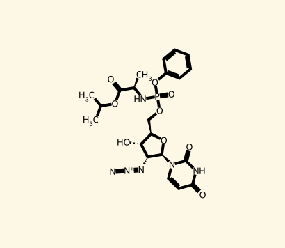 CC(C)OC(=O)[C@@H](C)NP(=O)(OC[C@H]1O[C@@H](n2ccc(=O)[nH]c2=O)[C@H](N=[N+]=[N-])[C@@H]1O)Oc1ccccc1